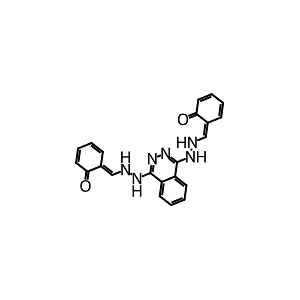 O=C1C=CC=CC1=CNNc1nnc(NNC=C2C=CC=CC2=O)c2ccccc12